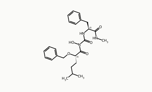 CNC(=O)[C@H](Cc1ccccc1)NC(=O)N(O)C(=O)[C@H](CCC(C)C)OCc1ccccc1